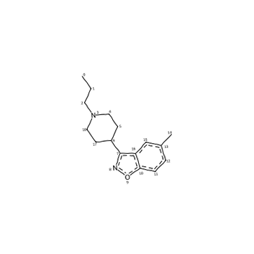 CCCN1CCC(c2noc3ccc(C)cc23)CC1